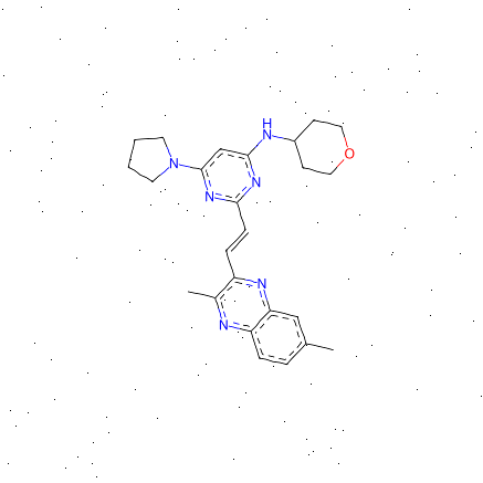 Cc1ccc2nc(C)c(/C=C/c3nc(NC4CCOCC4)cc(N4CCCC4)n3)nc2c1